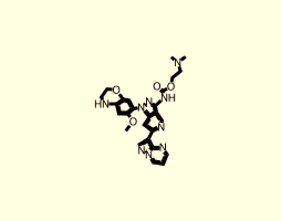 COc1cc2c(cc1-n1nc(NC(=O)OCCN(C)C)c3cnc(-c4cnn5cccnc45)cc31)OCCN2